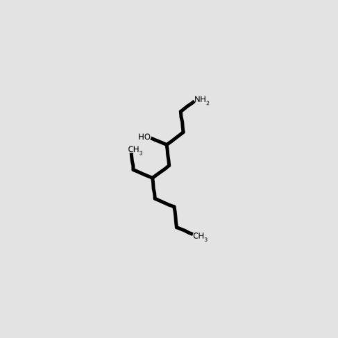 CCCCC(CC)CC(O)CCN